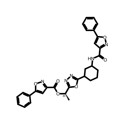 C[C@@H](OC(=O)c1cc(-c2ccccc2)on1)c1nnc(C2CCCC(NC(=O)c3cc(-c4ccccc4)on3)C2)o1